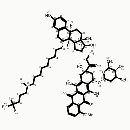 COc1cccc2c1C(=O)c1c(O)c3c(c(O)c1C2=O)C[C@@](O)(C(=O)CO)C[C@@H]3O[C@H]1C[C@H](N)[C@@H](O)[C@H](C)O1.C[C@]12CC[C@@H]3c4ccc(O)cc4C[C@@H](CCCCCCCCC[S+]([O-])CCCC(F)(F)C(F)(F)F)[C@H]3[C@@H]1CC[C@@H]2O